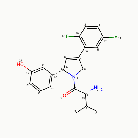 CC(C)[C@@H](N)C(=O)N1CC(c2cc(F)ccc2F)=C[C@H]1c1cccc(O)c1